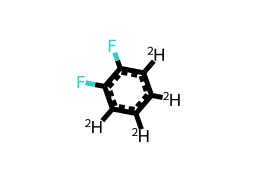 [2H]c1c([2H])c([2H])c(F)c(F)c1[2H]